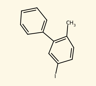 Cc1ccc(I)cc1-c1ccccc1